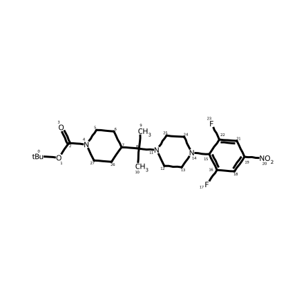 CC(C)(C)OC(=O)N1CCC(C(C)(C)N2CCN(c3c(F)cc([N+](=O)[O-])cc3F)CC2)CC1